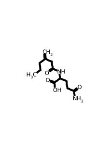 C=C(CCC)CC(=O)NC(CCC(N)=O)C(=O)O